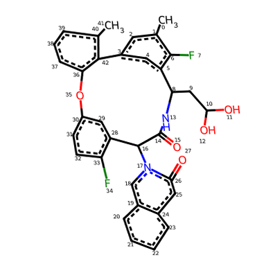 Cc1cc2cc(c1F)C(CC(O)O)NC(=O)C(n1cc3ccccc3cc1=O)c1cc(ccc1F)Oc1cccc(C)c1-2